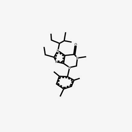 CCc1nc2c(n1C(CC)C(C)C)C(=O)N(C)CN2c1c(C)cc(C)cc1C